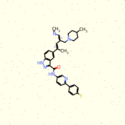 C=N/C=C(\C=C(/C)c1ccc2[nH]nc(C(=O)Nc3ccc(-c4ccc(F)cc4)nc3)c2c1)CN1CCC(C)CC1